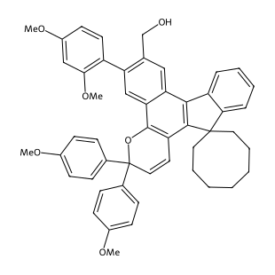 COc1ccc(C2(c3ccc(OC)cc3)C=Cc3c4c(c5cc(CO)c(-c6ccc(OC)cc6OC)cc5c3O2)-c2ccccc2C42CCCCCCC2)cc1